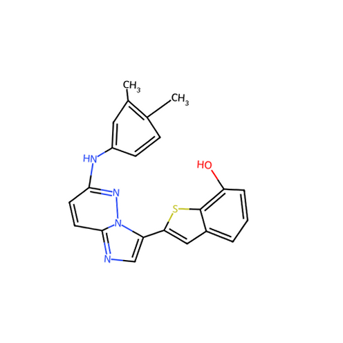 Cc1ccc(Nc2ccc3ncc(-c4cc5cccc(O)c5s4)n3n2)cc1C